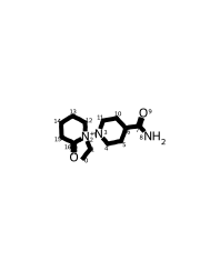 CC[N+]1(N2CCC(C(N)=O)CC2)CCC[CH]C1=O